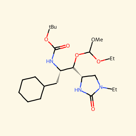 CCOC(OC)OC([C@H](CC1CCCCC1)NC(=O)OC(C)(C)C)[C@@H]1CN(CC)C(=O)N1